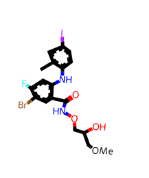 COCC(O)CONC(=O)c1cc(Br)c(F)cc1Nc1ccc(I)cc1C